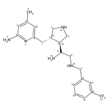 Cc1cc(N)nc(C[C@@H]2CNC[C@H]2C(N)CNCc2cccc(C(F)(F)F)c2)c1